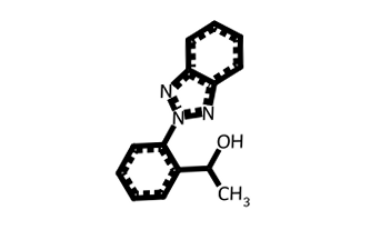 CC(O)c1ccccc1-n1nc2ccccc2n1